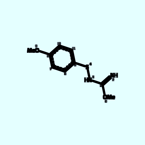 COC(=N)NSc1ccc(OC)cc1